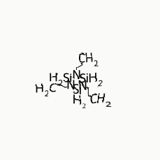 C=CCN1[SiH2]N(CC=C)[SiH2]N(CC=C)[SiH2]1